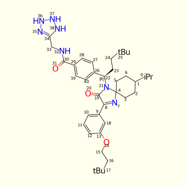 CC(C)C1CCC2(CC1)N=C(c1cccc(OCCC(C)(C)C)c1)C(=O)N2[C@H](CCC(C)(C)C)c1ccc(C(=O)NCC2=NNNN2)cc1